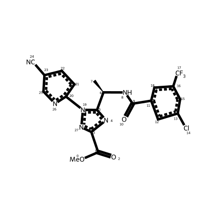 COC(=O)c1nc([C@@H](C)NC(=O)c2cc(Cl)cc(C(F)(F)F)c2)n(-c2ccc(C#N)cn2)n1